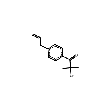 C=CCc1ccc(C(=O)C(C)(C)O)cc1